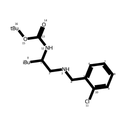 CCC(C)C(CNCc1ccccc1Cl)NC(=O)OC(C)(C)C